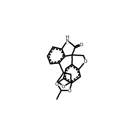 CC1Oc2cc3c(cc2O1)C1(CO3)C(=O)Nc2cccc(C3CCOC3)c21